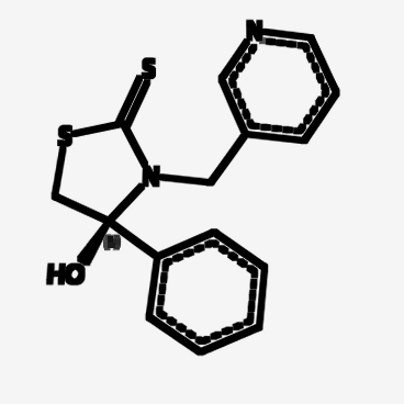 O[C@@]1(c2ccccc2)CSC(=S)N1Cc1cccnc1